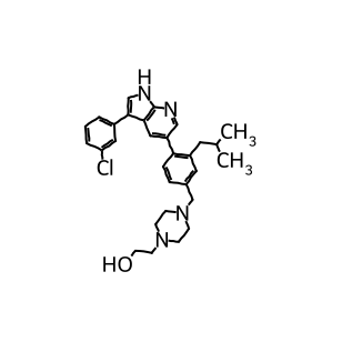 CC(C)Cc1cc(CN2CCN(CCO)CC2)ccc1-c1cnc2[nH]cc(-c3cccc(Cl)c3)c2c1